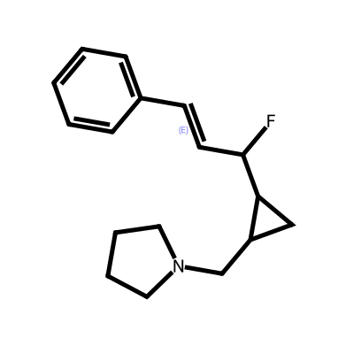 FC(/C=C/c1ccccc1)C1CC1CN1CCCC1